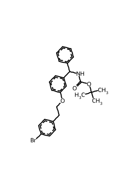 CC(C)(C)OC(=O)NC(c1ccccc1)c1cccc(OCCc2ccc(Br)cc2)c1